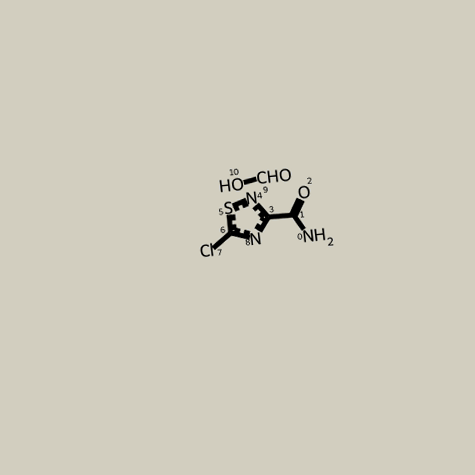 NC(=O)c1nsc(Cl)n1.O=CO